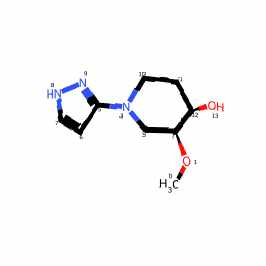 CO[C@H]1CN(c2cc[nH]n2)CC[C@H]1O